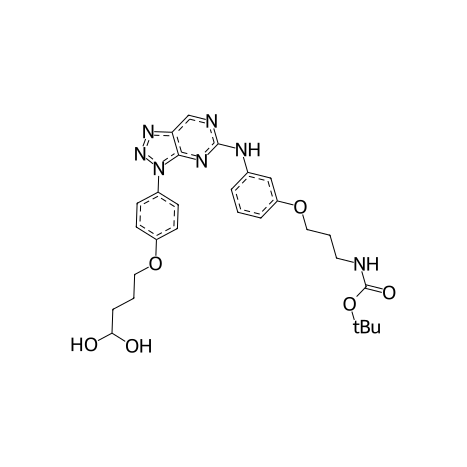 CC(C)(C)OC(=O)NCCCOc1cccc(Nc2ncc3nnn(-c4ccc(OCCCC(O)O)cc4)c3n2)c1